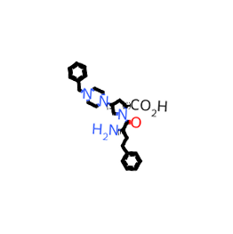 N[C@H](CCc1ccccc1)C(=O)N1C[C@@H](N2CCN(Cc3ccccc3)CC2)C[C@H]1C(=O)O